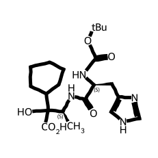 C[C@H](NC(=O)[C@H](Cc1c[nH]cn1)NC(=O)OC(C)(C)C)C(O)(C(=O)O)C1CCCCC1